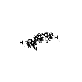 CC(C)C(=O)N1CCC(CCOc2ccc(-c3cc4c(c(C#N)n3)N=C[N+]4(C)C)cc2C(F)(F)F)CC1